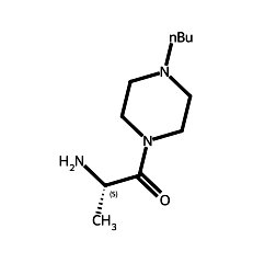 [CH2]CCCN1CCN(C(=O)[C@H](C)N)CC1